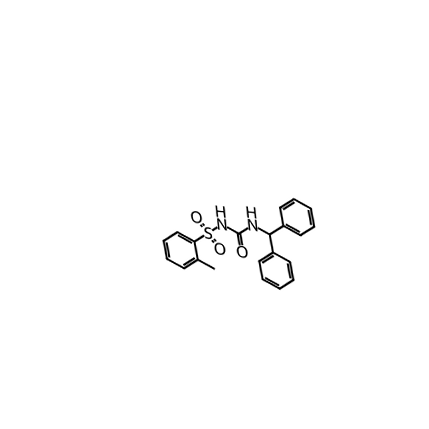 Cc1ccccc1S(=O)(=O)NC(=O)NC(c1ccccc1)c1ccccc1